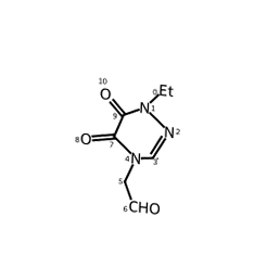 CCn1n[c]n(CC=O)c(=O)c1=O